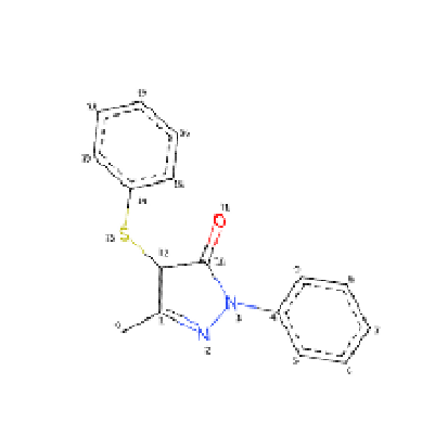 CC1=NN(c2ccccc2)C(=O)C1Sc1ccccc1